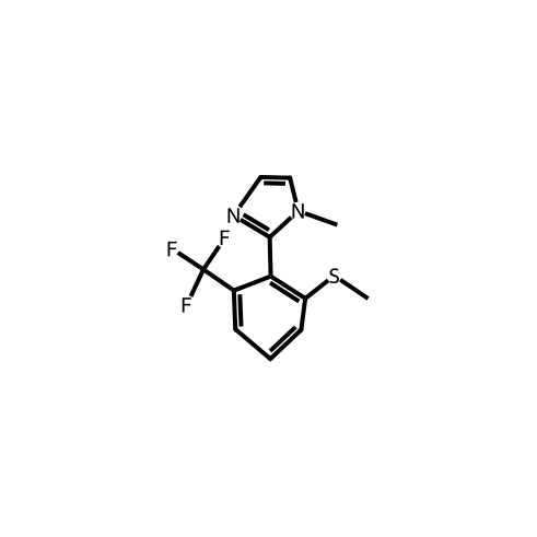 CSc1cccc(C(F)(F)F)c1-c1nccn1C